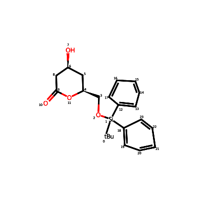 CC(C)(C)[Si](OC[C@@H]1C[C@H](O)CC(=O)O1)(c1ccccc1)c1ccccc1